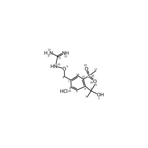 CC(C)(O)c1ccc(CONC(=N)N)cc1S(C)(=O)=O.Cl